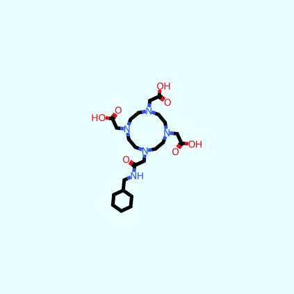 O=C(O)CN1CCN(CC(=O)O)CCN(CC(=O)NCC2CCCCC2)CCN(CC(=O)O)CC1